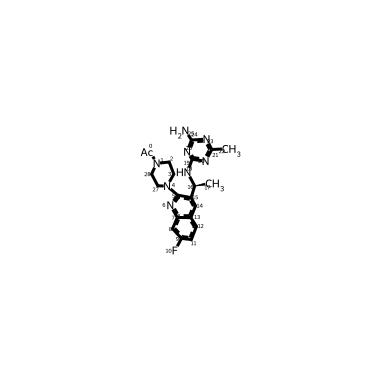 CC(=O)N1CCN(c2nc3cc(F)ccc3cc2[C@H](C)Nc2nc(C)nc(N)n2)CC1